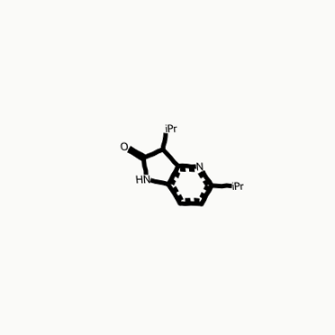 CC(C)c1ccc2c(n1)C(C(C)C)C(=O)N2